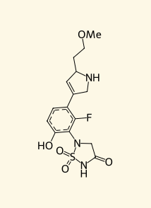 COCCC1C=C(c2ccc(O)c(N3CC(=O)NS3(=O)=O)c2F)CN1